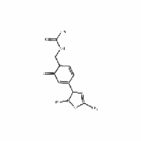 CCCC(=O)NCC1C=CC(C2N=C(C(F)(F)F)ON2C(C)C)=CC1=O